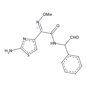 CO/N=C(\C(=O)NC([C]=O)c1ccccc1)c1csc(N)n1